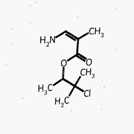 CC(=CN)C(=O)OC(C)C(C)(C)Cl